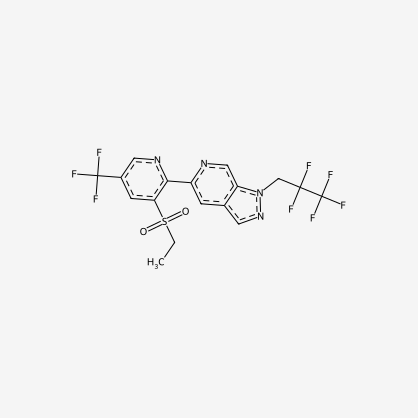 CCS(=O)(=O)c1cc(C(F)(F)F)cnc1-c1cc2cnn(CC(F)(F)C(F)(F)F)c2cn1